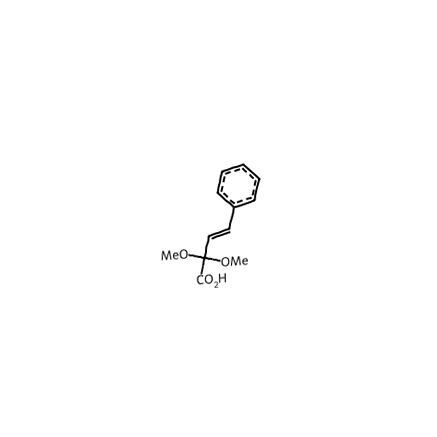 COC(C=Cc1ccccc1)(OC)C(=O)O